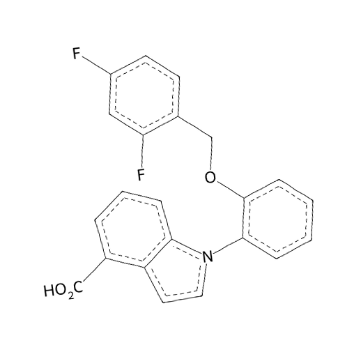 O=C(O)c1cccc2c1ccn2-c1ccccc1OCc1ccc(F)cc1F